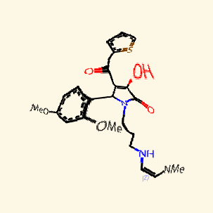 CN/C=C\NCCCN1C(=O)C(O)=C(C(=O)c2cccs2)C1c1ccc(OC)cc1OC